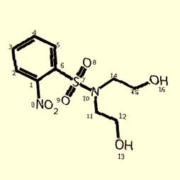 O=[N+]([O-])c1ccccc1S(=O)(=O)N(CCO)CCO